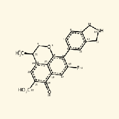 C[C@H]1COc2c(-c3ccc4c(c3)CNC4)c(F)cc3c(=O)c(C(=O)O)cn1c23